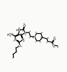 CCCCOc1nc(N)c2[nH]c(=O)n(CCN3CCC(CCC(=O)OC)CC3)c2n1